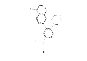 Nc1cnnc2cc(-c3cc(B(O)OC=O)ccc3N3CCOCC3)ccc12